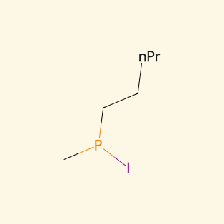 CCCCCP(C)I